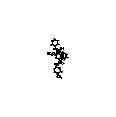 C[C@H]1CC[C@@H](NC(=O)c2cc(C(=O)O)c(C(=N)NC3CCCCC3)c3c4ccc(c(=O)[nH]c4=O)c23)CC1